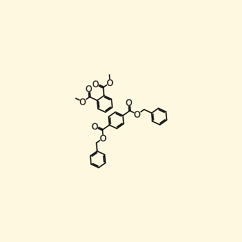 COC(=O)c1ccccc1C(=O)OC.O=C(OCc1ccccc1)c1ccc(C(=O)OCc2ccccc2)cc1